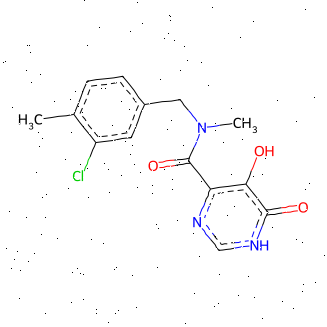 Cc1ccc(CN(C)C(=O)c2nc[nH]c(=O)c2O)cc1Cl